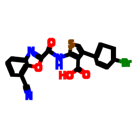 N#Cc1cccc2nc(C(=O)Nc3scc(-c4ccc(Br)cc4)c3C(=O)O)oc12